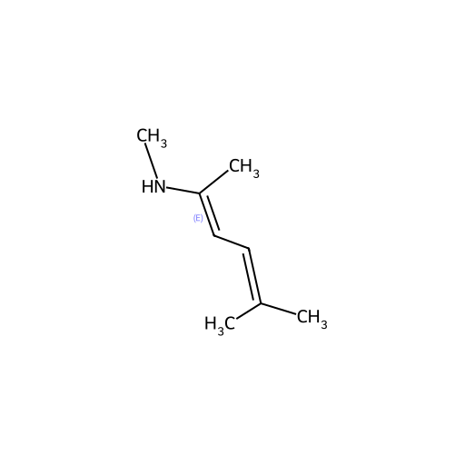 CN/C(C)=C/C=C(C)C